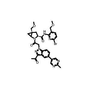 COCc1ccc(Br)nc1NC(=O)[C@@H]1C[C@@]2(COC)CC2N1C(=O)Cn1nc(C(C)=O)c2cc(-c3cnc(C)nc3)ccc21